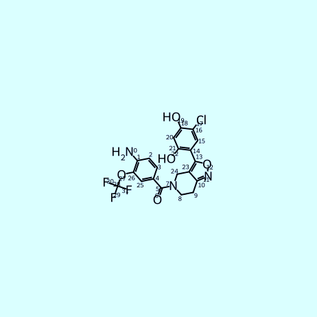 Nc1ccc(C(=O)N2CCc3noc(-c4cc(Cl)c(O)cc4O)c3C2)cc1OC(F)(F)F